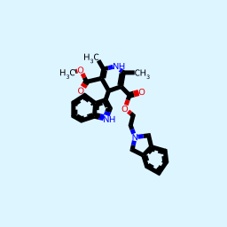 COC(=O)C1=C(C)NC(C)=C(C(=O)OCCN2Cc3ccccc3C2)C1c1c[nH]c2ccccc12